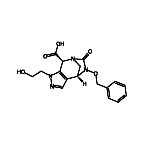 O=C(O)[C@@H]1c2c(cnn2CCO)[C@@H]2CN1C(=O)N2OCc1ccccc1